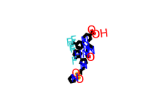 O=C(O)C1CCN(c2cc(C(F)(F)F)ccc2-n2ccnc2NC(=O)[C@@H]2CN(CCCS(=O)(=O)N3CCCC3)C[C@H]2c2ccc(F)cc2F)CC1